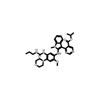 CCCNC(=O)Nc1cc(Nc2c(-c3ncncc3C(=O)OC(C)C)c3ccccc3n2C)c(OC)cc1N1CCOCC1